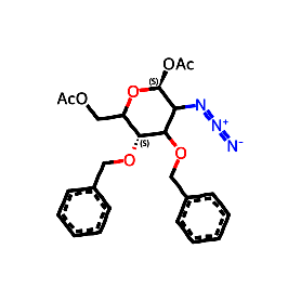 CC(=O)OCC1O[C@@H](OC(C)=O)C(N=[N+]=[N-])C(OCc2ccccc2)[C@@H]1OCc1ccccc1